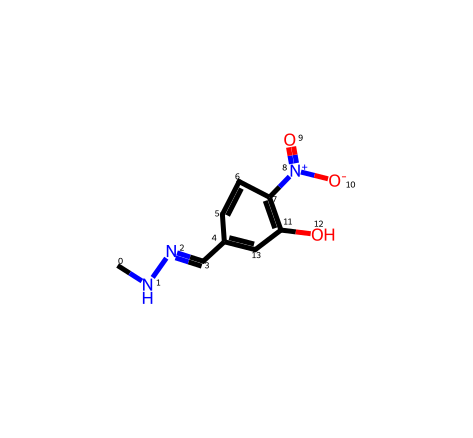 CN/N=C/c1ccc([N+](=O)[O-])c(O)c1